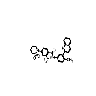 Cc1cc(N2CCCCS2(=O)=O)ccc1C(=O)Nc1ccc(C)c(-c2ccc3ccccc3n2)c1